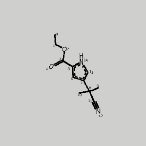 CCOC(=O)c1cc(C(C)(C)C#N)c[nH]1